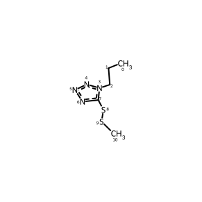 CCCn1nnnc1SSC